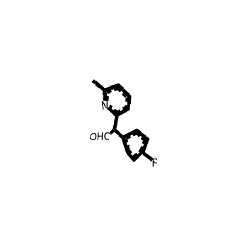 Cc1cccc(C(C=O)c2ccc(F)cc2)n1